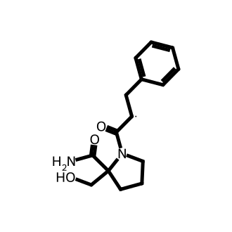 NC(=O)C1(CO)CCCN1C(=O)[CH]Cc1ccccc1